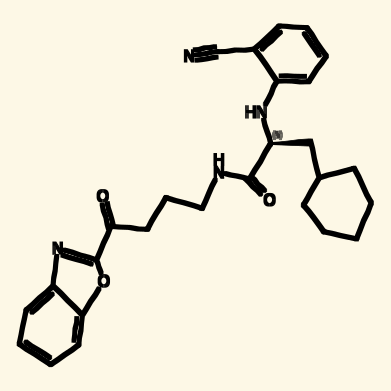 N#Cc1ccccc1N[C@@H](CC1CCCCC1)C(=O)NCCCC(=O)c1nc2ccccc2o1